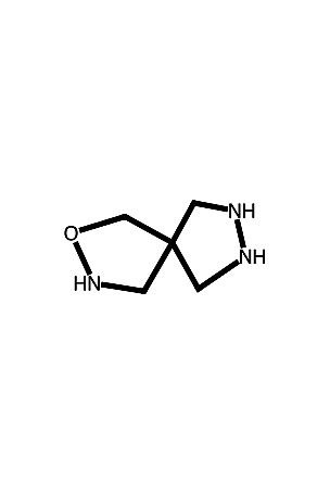 C1NNCC12CNOC2